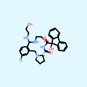 O=C(NC(=O)C1(O)c2ccccc2-c2ccccc21)[C@@H]1CCCN1Cc1cc(Cl)ccc1C(NCCO)NCCO